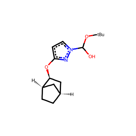 CC(C)(C)OC(O)n1ccc(O[C@H]2C[C@H]3CC[C@@H]2C3)n1